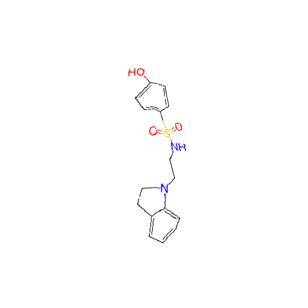 O=S(=O)(NCCN1CCc2ccccc21)c1ccc(O)cc1